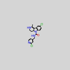 CC1=C2c3cc(Cl)ccc3N(C(=O)NCc3ccnc(Cl)c3)C2CCN1